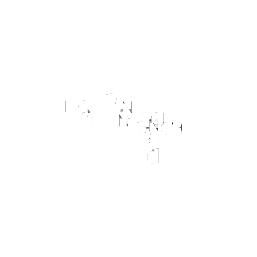 C[C@H](c1ccc(Cl)cc1)N(C)C(=O)c1ccc2nc(-c3ccccc3)c(CCCCC(=O)O)nc2c1